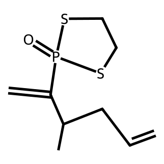 C=CCC(C)C(=C)P1(=O)SCCS1